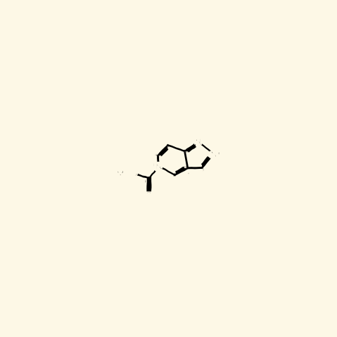 COC(=O)n1ccc2nncc-2c1